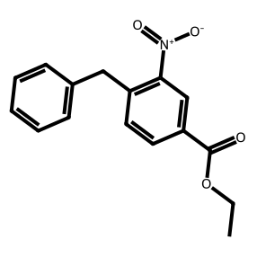 CCOC(=O)c1ccc(Cc2ccccc2)c([N+](=O)[O-])c1